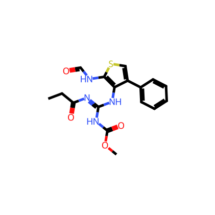 CCC(=O)N=C(NC(=O)OC)Nc1c(-c2ccccc2)csc1NC=O